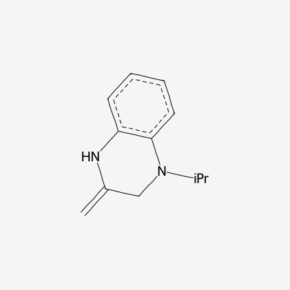 C=C1CN(C(C)C)c2ccccc2N1